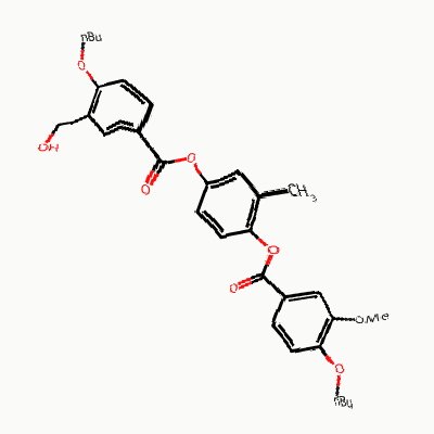 CCCCOc1ccc(C(=O)Oc2ccc(OC(=O)c3ccc(OCCCC)c(OC)c3)c(C)c2)cc1CO